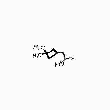 CC(C)N(O)CC1CC(C)(C)C1